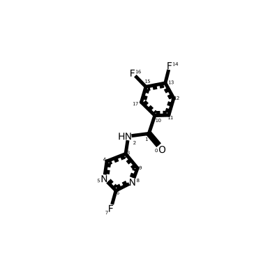 O=C(Nc1cnc(F)nc1)c1ccc(F)c(F)c1